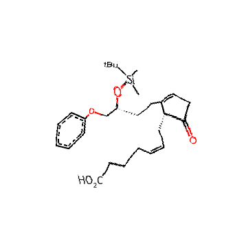 CC(C)(C)[Si](C)(C)O[C@H](CCC1=CCC(=O)[C@@H]1C/C=C\CCCC(=O)O)COc1ccccc1